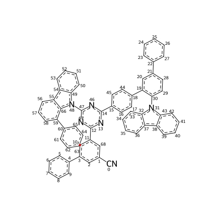 N#Cc1cc(-c2ccccc2)cc(-c2nc(-c3ccc(-c4cc(-c5ccccc5)ccc4-n4c5ccccc5c5ccccc54)cc3)nc(-n3c4ccccc4c4cccc(-c5ccccc5)c43)n2)c1